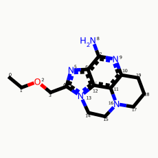 CCOCc1nc2c(N)nc3c4c2n1CCN4CCC3